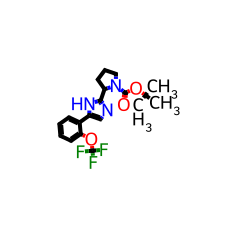 CC(C)(C)OC(=O)N1CCCC1c1ncc(-c2ccccc2OC(F)(F)F)[nH]1